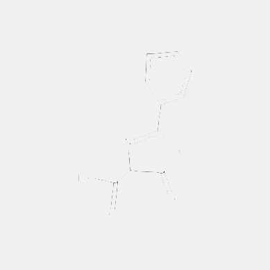 O=C1OC(c2ccccc2)=NC1C(=O)C(F)(F)F